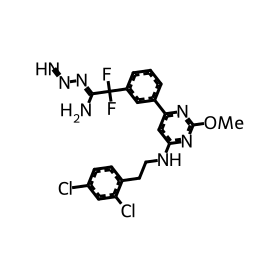 COc1nc(NCCc2ccc(Cl)cc2Cl)cc(-c2cccc(C(F)(F)/C(N)=N/N=N)c2)n1